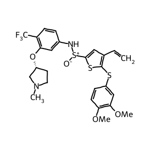 C=Cc1cc([S+]([O-])Nc2ccc(C(F)(F)F)c(O[C@@H]3CCN(C)C3)c2)sc1Sc1ccc(OC)c(OC)c1